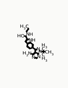 CCCNC(O)c1cc2ccc(-c3nn(C(C)(C)C)c4ncnc(N)c34)cc2[nH]1